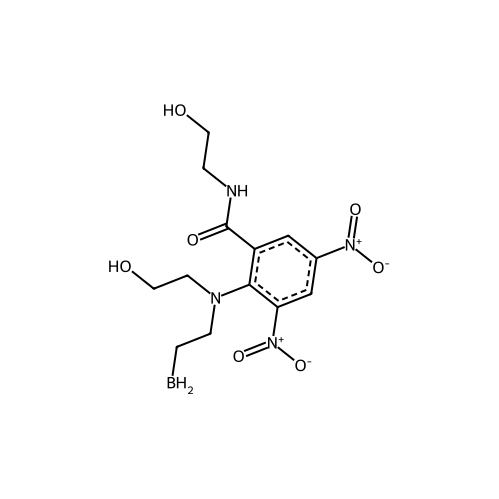 BCCN(CCO)c1c(C(=O)NCCO)cc([N+](=O)[O-])cc1[N+](=O)[O-]